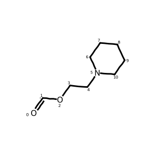 O=[C]OCCN1CCCCC1